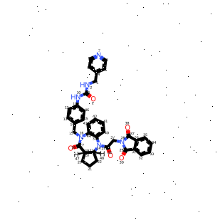 O=C(NCc1ccncc1)Nc1ccc(CN2C(=O)[C@H]3CCC[C@H]3N(C(=O)CN3C(=O)c4ccccc4C3=O)c3ccccc32)cc1